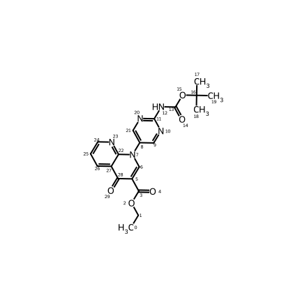 CCOC(=O)c1cn(-c2cnc(NC(=O)OC(C)(C)C)nc2)c2ncccc2c1=O